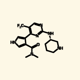 CN(C)C(=O)c1c[nH]cc1-c1nc(N[C@H]2CCCNC2)ncc1C(F)(F)F